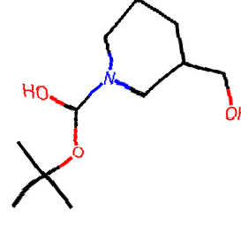 CC(C)(C)OC(O)N1CCCC(CO)C1